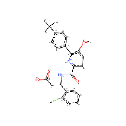 COc1ccc(C(=O)NC(CC(=O)O)c2ccccc2F)nc1-c1ccc(C(C)(C)C)cc1